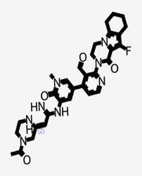 CC(=O)N1CCN/C(=C\C(=N)Nc2cc(-c3ccnc(N4CCn5c6c(c(F)c5C4=O)CCCC6)c3C=O)cn(C)c2=O)C1